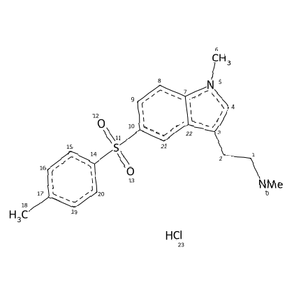 CNCCc1cn(C)c2ccc(S(=O)(=O)c3ccc(C)cc3)cc12.Cl